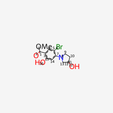 COC(=O)c1cc(Br)c(N2CC[C@@H](O)C2)cc1O